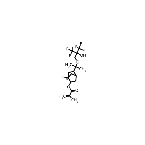 C=C(C)C(=O)OC1CC2C[C@H]1CC2C(C)(C)OCC(O)(C(F)(F)F)C(F)(F)F